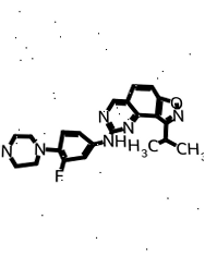 CC(C)c1noc2ccc3cnc(Nc4ccc(N5CCNCC5)c(F)c4)nc3c12